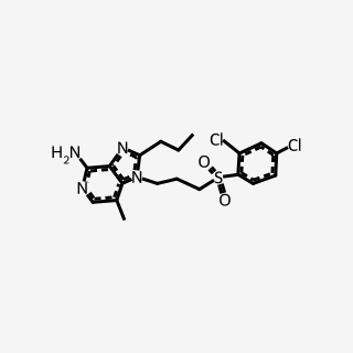 CCCc1nc2c(N)ncc(C)c2n1CCCS(=O)(=O)c1ccc(Cl)cc1Cl